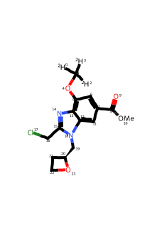 [2H]C([2H])([2H])Oc1cc(C(=O)OC)cc2c1nc(CCl)n2C[C@@H]1CCO1